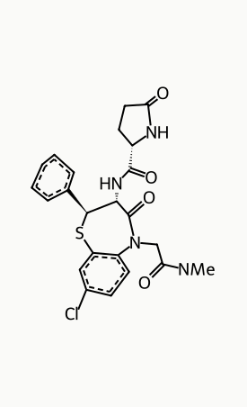 CNC(=O)CN1C(=O)[C@@H](NC(=O)[C@@H]2CCC(=O)N2)[C@H](c2ccccc2)Sc2cc(Cl)ccc21